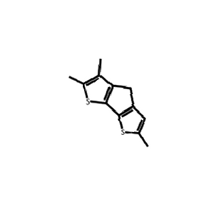 Cc1cc2c(s1)-c1sc(C)c(C)c1C2